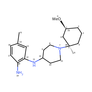 CO[C@H]1CCC[C@@](C)(N2CCC(Nc3cc(C)ccc3N)CC2)C1